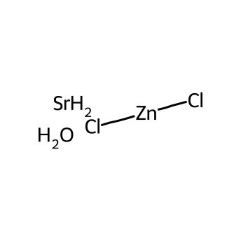 O.[Cl][Zn][Cl].[SrH2]